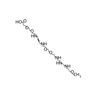 CCOCCCNCCNCCNCCCOCCOCCNCC#CCNCCOCCOCCC(=O)O